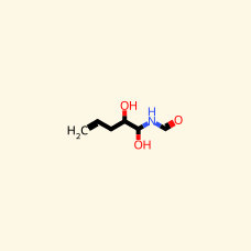 C=CCC(O)C(O)NC=O